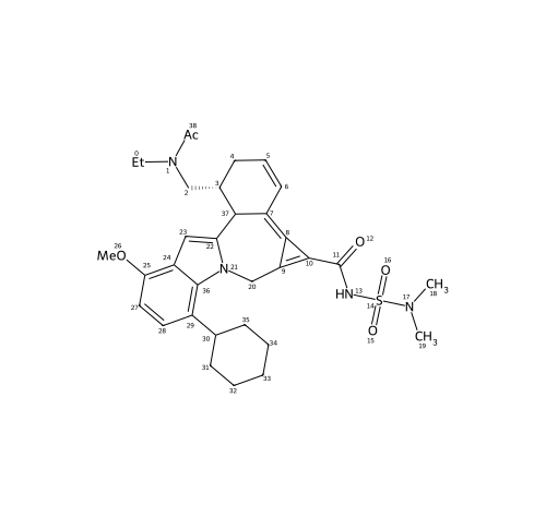 CCN(C[C@@H]1CC=CC2=C3C(=C3C(=O)NS(=O)(=O)N(C)C)Cn3c(cc4c(OC)ccc(C5CCCCC5)c43)C21)C(C)=O